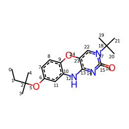 CCC(C)(C)Oc1ccc2c(c1)Nc1nc(=O)n(C(C)(C)C)cc1O2